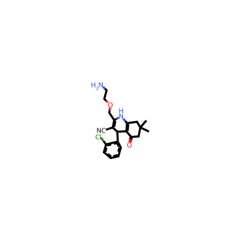 CC1(C)CC(=O)C2=C(C1)NC(COCCN)=C(C#N)C2c1ccccc1Cl